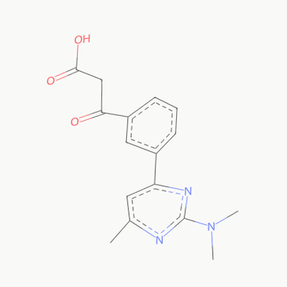 Cc1cc(-c2cccc(C(=O)CC(=O)O)c2)nc(N(C)C)n1